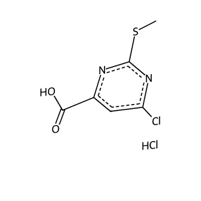 CSc1nc(Cl)cc(C(=O)O)n1.Cl